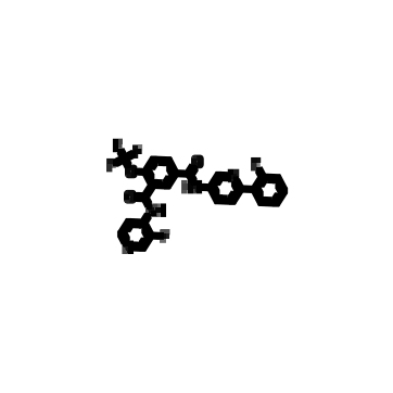 O=C(Nc1ccc(-c2ccccc2F)nc1)c1ccc(OC(F)(F)F)c(C(=O)Nc2ccncc2F)c1